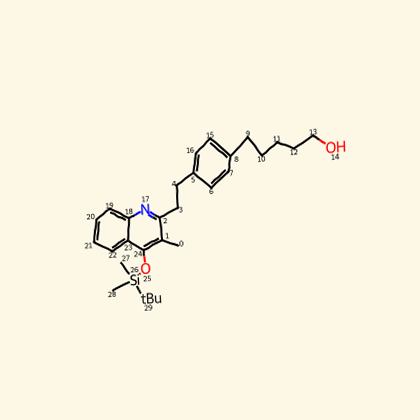 Cc1c(CCc2ccc(CCCCCO)cc2)nc2ccccc2c1O[Si](C)(C)C(C)(C)C